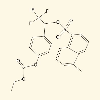 CCOC(=O)Oc1ccc(C(OS(=O)(=O)c2cccc3c(C)cccc23)C(F)(F)F)cc1